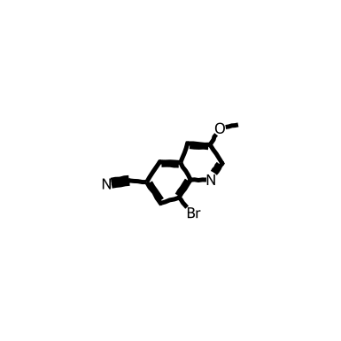 COc1cnc2c(Br)cc(C#N)cc2c1